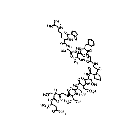 CC[C@H](C)[C@H](NC(=O)[C@H](CCCNC(=N)N)NC(=O)[C@@H]1CCCN1)C(=O)N[C@H](C(=O)N[C@@H](Cc1ccccc1)C(=O)NCC(=O)NCC(=O)N1CCC[C@H]1C(=O)N[C@@H](CO)C(=O)N[C@@H](CC(=O)O)C(=O)N[C@@H](CO)C(=O)N[C@H](C(=O)NCC(=O)N[C@@H](CO)C(=O)N[C@@H](CC(N)=O)C(=O)O)[C@@H](C)O)[C@@H](C)O